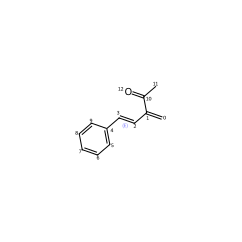 C=C(/C=C/c1ccccc1)C(C)=O